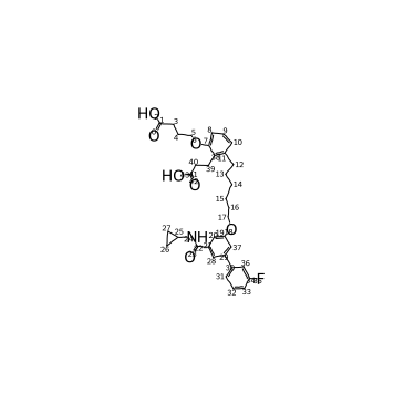 O=C(O)CCCOc1cccc(CCCCCCOc2cc(C(=O)NC3CC3)cc(-c3cccc(F)c3)c2)c1CCC(=O)O